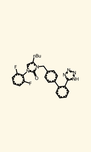 CCCCc1cn(-c2c(F)cccc2F)c(=O)n1Cc1ccc(-c2ccccc2-c2nnn[nH]2)cc1